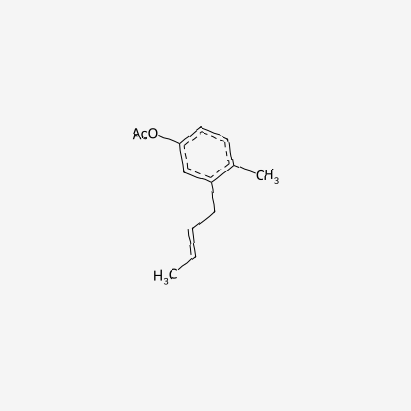 CC=CCc1cc(OC(C)=O)ccc1C